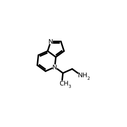 CC(CN)n1cccc2nccc1-2